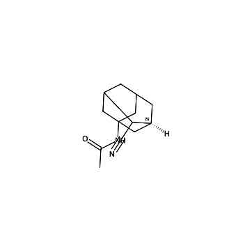 CC(=O)NC12CC3CC(C1)C(C#N)[C@@H](C3)C2